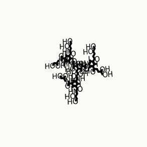 O=C(CCC(O)CO)c1c(I)c(NC(=O)C(O)C(O)C(C(O)C(O)C(=O)Nc2c(I)c(C(=O)NCC(O)CO)c(I)c(C(=O)NCC(O)CO)c2I)C(O)C(O)C(=O)Nc2c(I)c(C(=O)NCC(O)CO)c(I)c(C(=O)NCC(O)CO)c2I)c(I)c(C(=O)CCC(O)CO)c1I